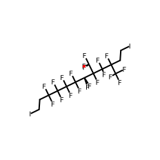 FC(F)(F)C(F)(CCI)C(F)(F)C(F)(C(F)(F)F)C(F)(F)C(F)(F)C(F)(F)C(F)(F)C(F)(F)CCI